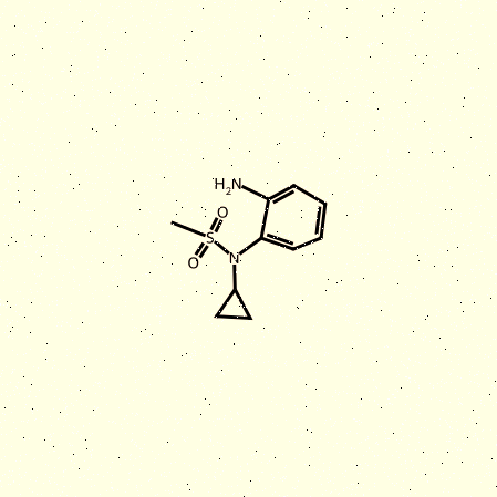 CS(=O)(=O)N(c1ccccc1N)C1CC1